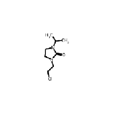 CC(C)N1CCN(CCCl)C1=O